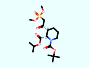 COP(=O)(CC(=O)[C@@H]1CCCN(C(=O)OC(C)(C)C)[C@@H]1C(=O)OC(C)C)OC